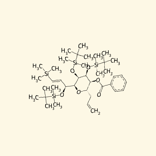 C=CC[C@@H]1O[C@@H]([C@H](C=C[Si](C)(C)C)O[Si](C)(C)C(C)(C)C)[C@@H](O[Si](C)(C)C(C)(C)C)[C@@H](O[Si](C)(C)C(C)(C)C)[C@H]1OC(=O)c1ccccc1